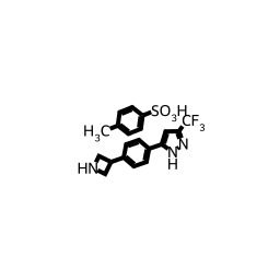 Cc1ccc(S(=O)(=O)O)cc1.FC(F)(F)c1cc(-c2ccc(C3CNC3)cc2)[nH]n1